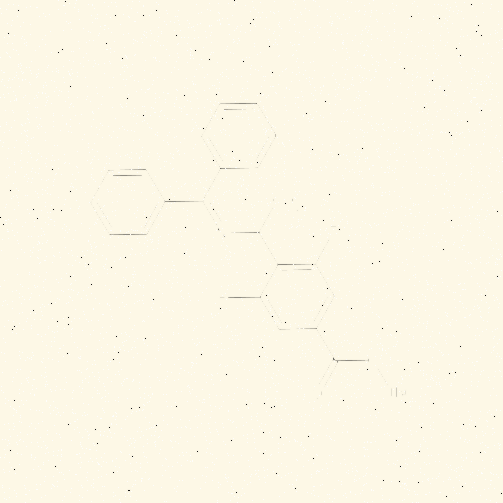 CCOC(=O)C(N=C(c1ccccc1)c1ccccc1)c1c(F)cc(C(=O)OC(C)(C)C)cc1F